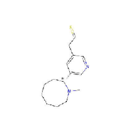 CN1CCCCCC[C@@H]1c1cncc(CC=S)c1